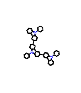 C1=CC(n2c3ccccc3c3cc(-c4ccc5c(c4)c4cc(-c6ccc7c(c6)c6ccccc6n7-c6ccccc6)ccc4n5-c4ccccc4)ccc32)=CCC1